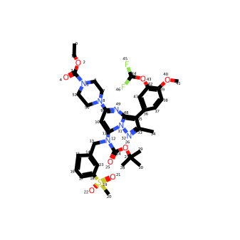 CCOC(=O)N1CCN(c2cc(N(Cc3cccc(S(C)(=O)=O)c3)C(=O)OC(C)(C)C)n3nc(C)c(-c4ccc(OC)c(OC(F)F)c4)c3n2)CC1